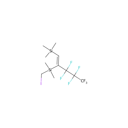 C[Si](C)(C)C=C(C(F)(F)C(F)(F)C(F)(F)F)[Si](C)(C)CI